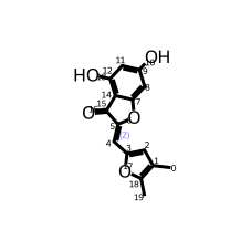 Cc1cc(/C=C2\Oc3cc(O)cc(O)c3C2=O)oc1C